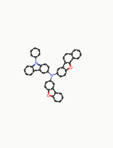 c1ccc(-n2c3ccccc3c3cc(N(c4ccc5oc6ccccc6c5c4)c4ccc5oc6c7ccccc7ccc6c5c4)ccc32)cc1